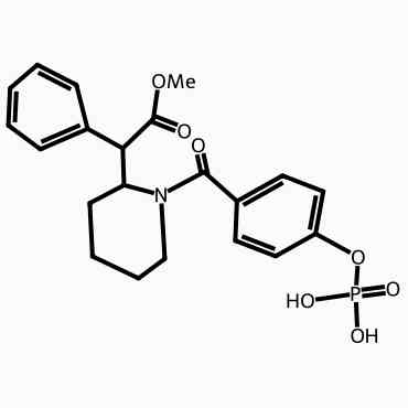 COC(=O)C(c1ccccc1)C1CCCCN1C(=O)c1ccc(OP(=O)(O)O)cc1